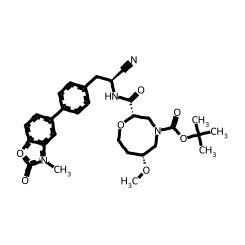 CO[C@@H]1CCO[C@H](C(=O)N[C@H](C#N)Cc2ccc(-c3ccc4oc(=O)n(C)c4c3)cc2)CN(C(=O)OC(C)(C)C)C1